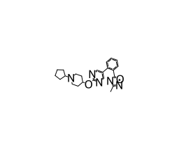 Cc1noc(-c2ccccc2-c2cnc(OC3CCN(C4CCCC4)CC3)nc2)n1